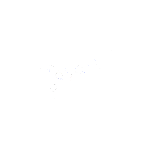 CC1CN(c2cnc(C(=O)Nc3nc(-c4cc(Cl)cs4)c(CN4[C@H](C)CC[C@H]4C)s3)cn2)CCN1CCC(=O)O